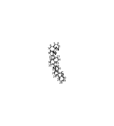 c1cnc2c(c1)ccc1ccc(-c3cccc4c(-c5ccc6c(ccc7c8ccccc8sc67)n5)cccc34)nc12